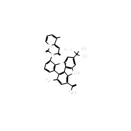 Cc1c(-c2c(C#N)cc(C(N)=O)c3[nH]c4cc(C(C)(C)O)ccc4c23)cccc1-n1c(=O)cc2c(Cl)cccn2c1=O